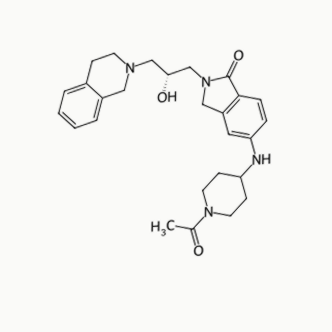 CC(=O)N1CCC(Nc2ccc3c(c2)CN(C[C@H](O)CN2CCc4ccccc4C2)C3=O)CC1